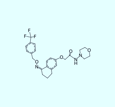 O=C(COc1ccc2c(c1)CCC/C2=N/OCc1ccc(C(F)(F)F)cc1)NN1CCOCC1